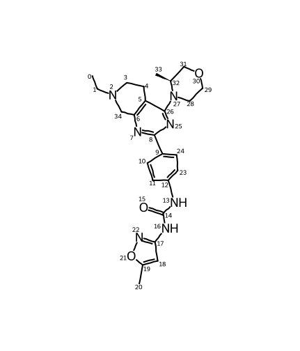 CCN1CCc2c(nc(-c3ccc(NC(=O)Nc4cc(C)on4)cc3)nc2N2CCOC[C@@H]2C)C1